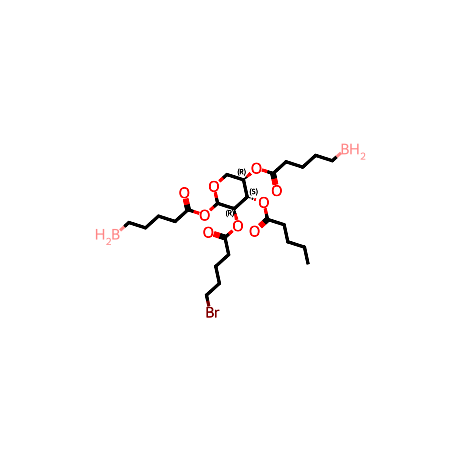 BCCCCC(=O)OC1OC[C@@H](OC(=O)CCCCB)[C@H](OC(=O)CCCC)[C@H]1OC(=O)CCCCBr